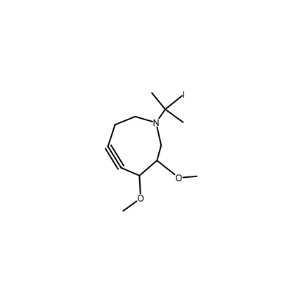 COC1C#CCCN(C(C)(C)I)CC1OC